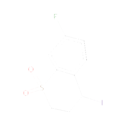 O=S1(=O)CCC(I)c2ccc(F)cc21